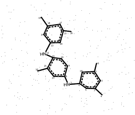 Cc1cc(C)cc(Nc2ccc(Nc3cc(C)cc(C)c3)c(C)c2)c1